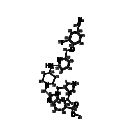 CCn1cncc1Cn1c(CN2CCC(Nc3cccc(COc4ccc(C#N)cc4F)n3)CC2)nc2ccc(C(=O)OC)cc21